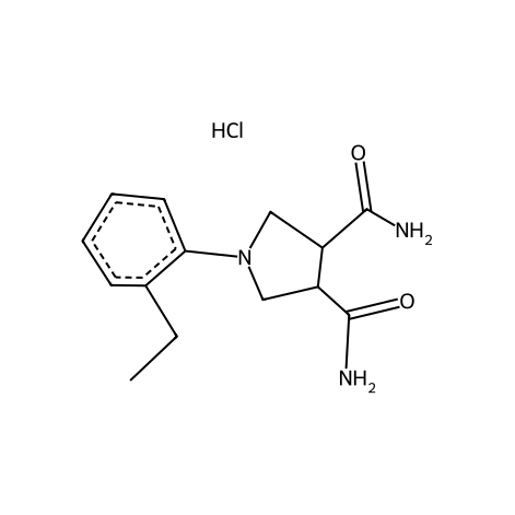 CCc1ccccc1N1CC(C(N)=O)C(C(N)=O)C1.Cl